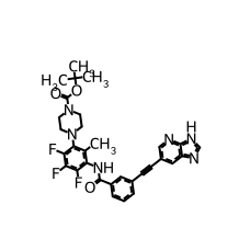 Cc1c(NC(=O)c2cccc(C#Cc3cnc4[nH]cnc4c3)c2)c(F)c(F)c(F)c1N1CCN(C(=O)OC(C)(C)C)CC1